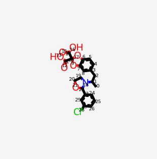 CC(Cc1ccc2c(c1)OC(C(=O)O)(C(=O)O)O2)N1CCOC1c1cccc(Cl)c1